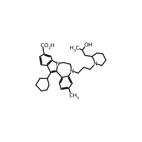 Cc1ccc2c(c1)N(CCCN1CCCCC1CC(C)O)CCn1c-2c(C2CCCCC2)c2ccc(C(=O)O)cc21